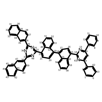 c1ccc(-c2cc(-c3ccccc3)nc(-c3ccc(-c4ccc(-c5nc(-c6ccc7ccccc7c6)nc(-c6ccc7ccccc7c6)n5)c5ccccc45)c4ccccc34)n2)cc1